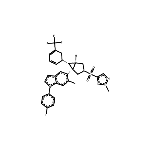 Cc1cc2c(cnn2-c2ccc(F)cc2)cc1[C@@]12CN(S(=O)(=O)c3cnn(C)n3)C[C@@H]1[C@H]2C1C=CC=C(C(F)(F)F)C1